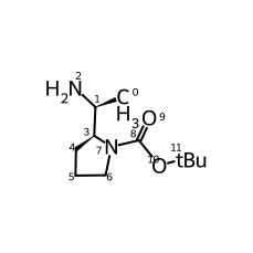 C[C@H](N)[C@@H]1CCCN1C(=O)OC(C)(C)C